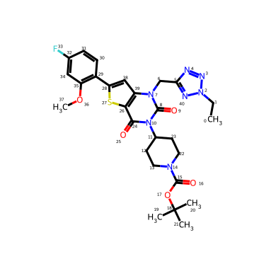 CCn1nnc(Cn2c(=O)n(C3CCN(C(=O)OC(C)(C)C)CC3)c(=O)c3sc(-c4ccc(F)cc4OC)cc32)n1